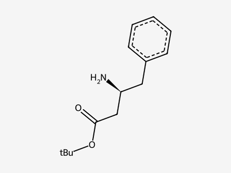 CC(C)(C)OC(=O)C[C@@H](N)Cc1ccccc1